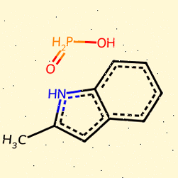 Cc1cc2ccccc2[nH]1.O=[PH2]O